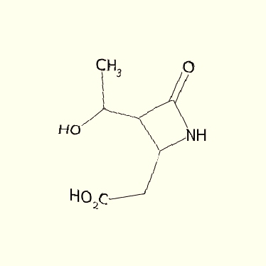 CC(O)C1C(=O)NC1CC(=O)O